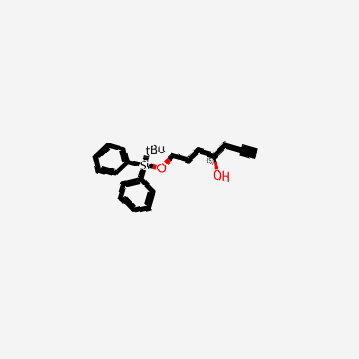 C#CC[C@@H](O)CCCO[Si](c1ccccc1)(c1ccccc1)C(C)(C)C